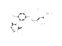 COC(=CC(=O)N(C)C)COc1cc(-n2c(=O)cc(C(F)(F)F)n(C)c2=O)c(Cl)cc1Cl